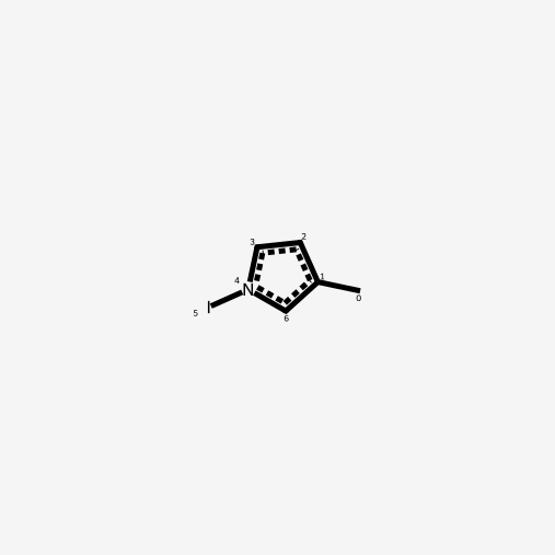 Cc1ccn(I)c1